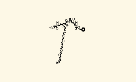 CC(C)(C)OC(=O)NCCCC[C@H](NC(=O)CCOCCOCCOCCOCCOCCOCCN=[N+]=[N-])C(=O)N[C@@H](CCCCNC(=O)OCc1ccccc1)C(=O)O